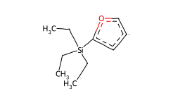 CC[Si](CC)(CC)c1c[c]co1